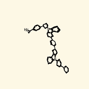 C1=CC(c2ccc3c(c2)c2ccccc2n3-c2cccc(-c3ccc(C4CN4)cc3)c2)CC=C1c1ccc2c(c1)c1ccccc1n2-c1ccc(-c2ccccc2)cc1